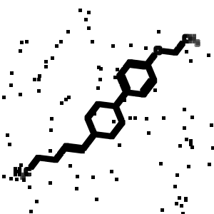 CCCC=CC1CCC(c2ccc(OCC)cc2)CC1